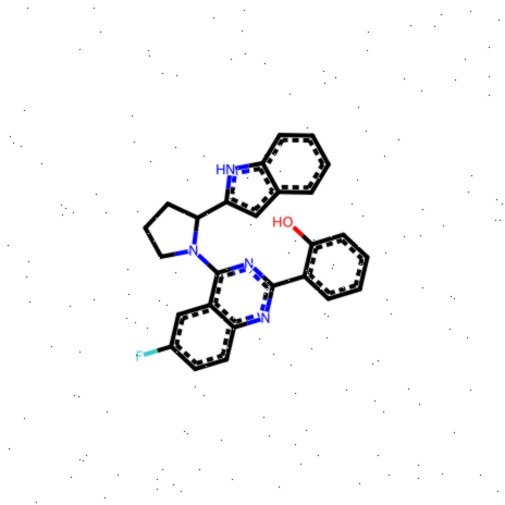 Oc1ccccc1-c1nc(N2CCCC2c2cc3ccccc3[nH]2)c2cc(F)ccc2n1